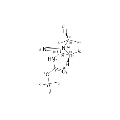 CC(C)(C)OC(=O)N[C@@H]1C[C@@H]2CC[C@H]1N2C#N